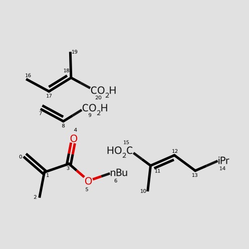 C=C(C)C(=O)OCCCC.C=CC(=O)O.CC(=CCC(C)C)C(=O)O.CC=C(C)C(=O)O